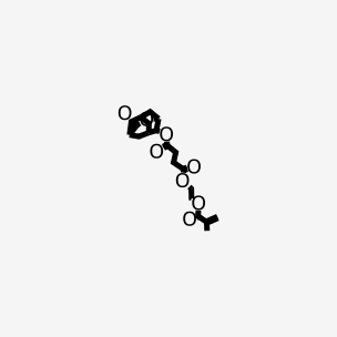 C=C(C)C(=O)OCCOC(=O)CCC(=O)OC1C2CC3CC(C2)C(=O)OC1C3